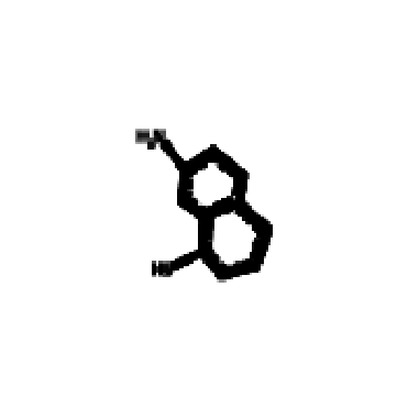 Nc1ccc2cccc(S)c2c1